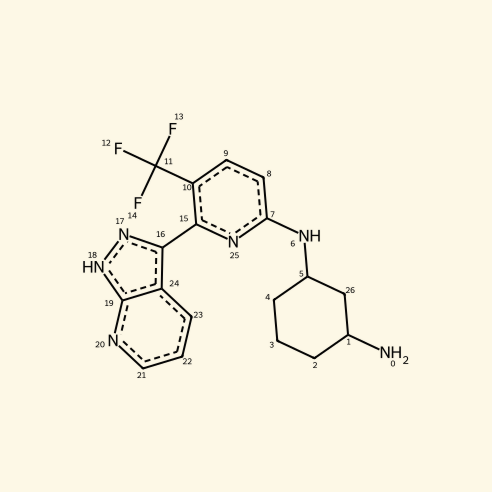 NC1CCCC(Nc2ccc(C(F)(F)F)c(-c3n[nH]c4ncccc34)n2)C1